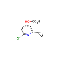 Clc1cccc(C2CC2)n1.O=C(O)O